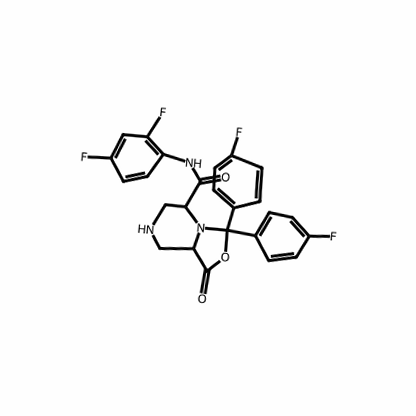 O=C(Nc1ccc(F)cc1F)C1CNCC2C(=O)OC(c3ccc(F)cc3)(c3ccc(F)cc3)N12